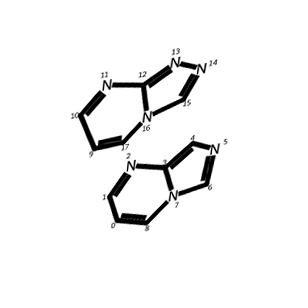 c1cnc2cncn2c1.c1cnc2nncn2c1